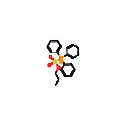 CCCOS(=O)(=O)[PH](c1ccccc1)(c1ccccc1)c1ccccc1